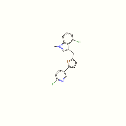 Cn1cc(Cc2ccc(-c3ccc(F)nc3)s2)c2c(Cl)cccc21